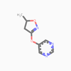 CC1CC(Oc2cncnc2)=NO1